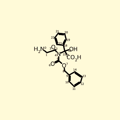 NCC(=O)N(C(=O)OCc1ccccc1)C(O)(C(=O)O)c1ccccc1